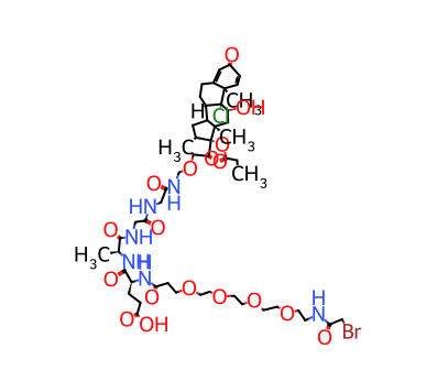 CCC(=O)O[C@]1(C(=O)COCNC(=O)CNC(=O)CNC(=O)[C@H](C)NC(=O)[C@H](CCC(=O)O)NC(=O)CCOCCOCCOCCOCCNC(=O)CBr)[C@@H](C)CC2[C@@H]3CCC4=CC(=O)C=C[C@]4(C)[C@@]3(Cl)[C@@H](O)C[C@@]21C